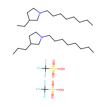 CCCCCCCCN1CCC(CC)C1.CCCCCCCCN1CCC(CCC)C1.O=S(=O)(O)C(F)(F)F.O=S(=O)(O)C(F)(F)F